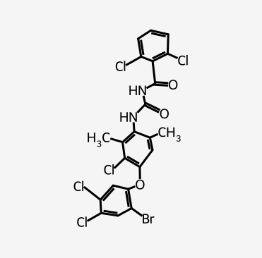 Cc1cc(Oc2cc(Cl)c(Cl)cc2Br)c(Cl)c(C)c1NC(=O)NC(=O)c1c(Cl)cccc1Cl